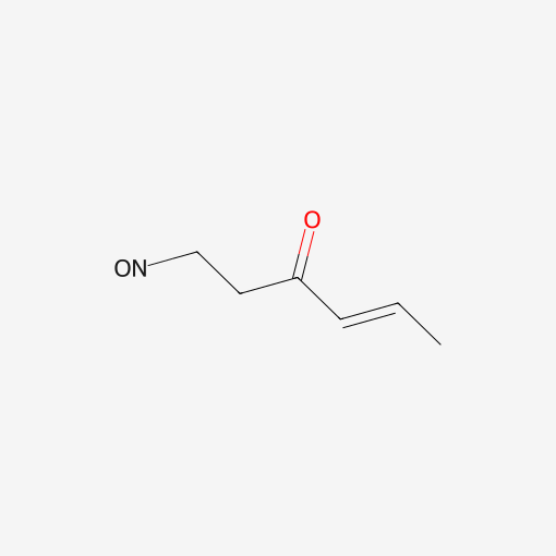 CC=CC(=O)CCN=O